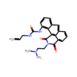 C=CCNC(=S)Nc1cccc2cc3cccc4c3c(c12)C(=O)N(CCN(C)C)C4=O